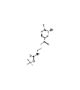 CC(C)(C)OC(=O)NCCCC(=O)c1ccc(F)c(Br)c1